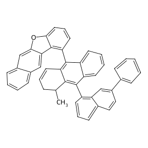 CC1CC=Cc2c1c(-c1cccc3ccc(-c4ccccc4)cc13)c1ccccc1c2-c1cccc2oc3cc4ccccc4cc3c12